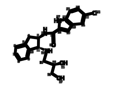 O=C(N[C@@H]1Cc2ccccc2[C@H]1NC[C@@H](O)CO)c1cc2cc(Cl)ccc2[nH]1